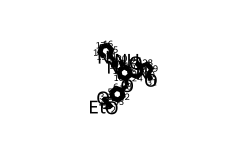 CCS(=O)(=O)c1ccc(Oc2cc3nc(-c4ccccn4)[nH]c3cc2CN2C(=O)C=CC2=O)cc1